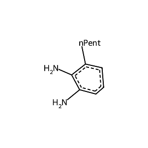 CCCCCc1cccc(N)c1N